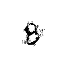 [H+].[c]1ncnc2nc[nH]c12